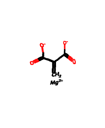 C=C(C(=O)[O-])C(=O)[O-].[Mg+2]